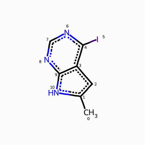 Cc1cc2c(I)ncnc2[nH]1